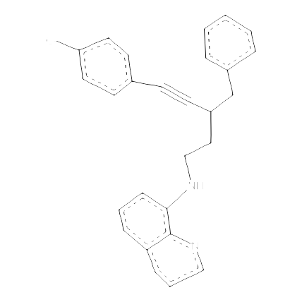 Clc1ccc(C#CC(CCNc2cccc3cccnc23)Cc2ccccc2)cc1